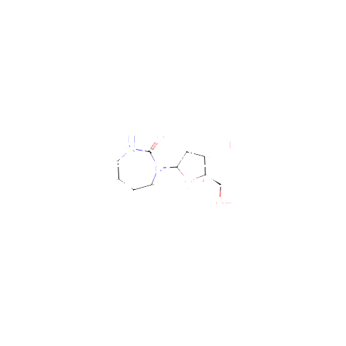 O=C1NCCCCN1C1C[C@H](O)[C@@H](CO)O1